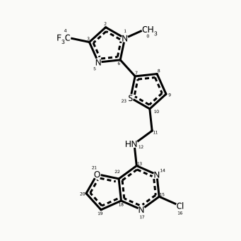 Cn1cc(C(F)(F)F)nc1-c1ccc(CNc2nc(Cl)nc3ccoc23)s1